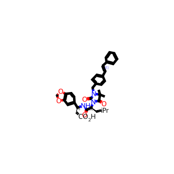 CC(C)C[C@@H](C(=O)N[C@H](CC(=O)O)c1ccc2c(c1)OCO2)N1C(=O)N(Cc2ccc(/C=C/c3ccccc3)cc2)C(C)(C)C1=O